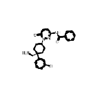 NC[C@]1(c2cccc(Cl)c2)CC[C@H](n2nc(NC(=O)c3ccccc3)ccc2=O)CC1